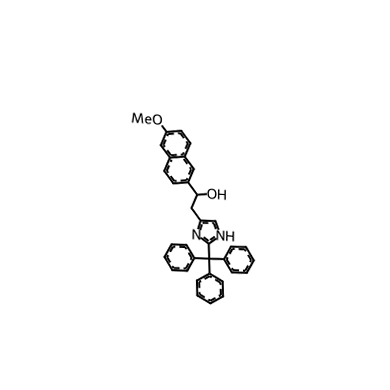 COc1ccc2cc(C(O)Cc3c[nH]c(C(c4ccccc4)(c4ccccc4)c4ccccc4)n3)ccc2c1